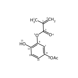 C=C(C)C(=O)Oc1cc(OC(C)=O)ccc1O